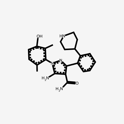 Cc1ccc(O)c(C)c1-n1nc(-c2ccccc2C2CCNCC2)c(C(N)=O)c1N